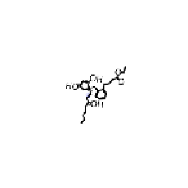 CCCCC[C@H](O)/C=C/[C@]1(Cc2ccccc2CCCC(=O)OCC)C[C@H](O)C[C@H]1O